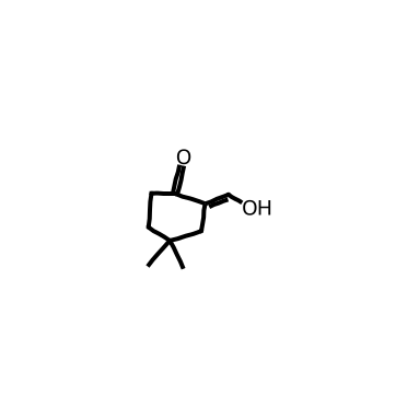 CC1(C)CCC(=O)/C(=C/O)C1